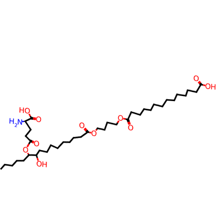 CCCCCC(OC(=O)CC[C@@H](N)C(=O)O)C(O)CCCCCCCCC(=O)OCCCCOC(=O)CCCCCCCCCCCCC(=O)O